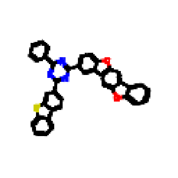 c1ccc(-c2nc(-c3ccc4c(c3)sc3ccccc34)nc(-c3ccc4oc5cc6c(cc5c4c3)oc3ccccc36)n2)cc1